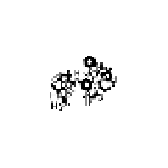 CN[C@@H](C)C(=O)N[C@H]1CCO[C@H]2CC(C)(C)C(C(=O)Nc3ccccc3SSc3ccccc3NC(=O)[C@H]3N4C(=O)[C@@H](NC(=O)[C@H](C)NC)CCO[C@H]4CC3(C)C)N2C1=O